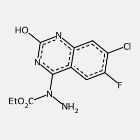 CCOC(=O)N(N)c1nc(O)nc2cc(Cl)c(F)cc12